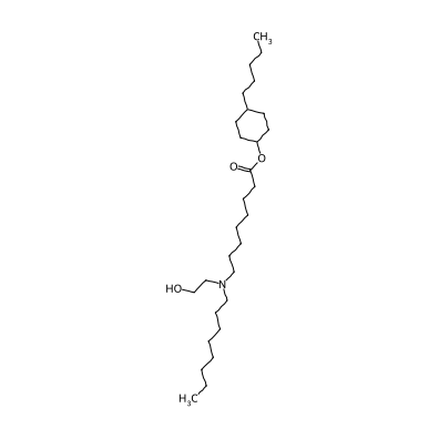 CCCCCCCCN(CCO)CCCCCCCC(=O)OC1CCC(CCCCC)CC1